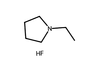 CCN1CCCC1.F